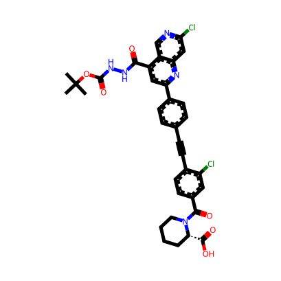 CC(C)(C)OC(=O)NNC(=O)c1cc(-c2ccc(C#Cc3ccc(C(=O)N4CCCC[C@H]4C(=O)O)cc3Cl)cc2)nc2cc(Cl)ncc12